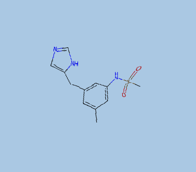 Cc1cc(Cc2cnc[nH]2)cc(NS(C)(=O)=O)c1